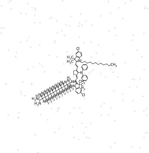 CCCCCCCCCCCC[N+]1=C(/C=C/C2=C(N(c3ccccc3)c3ccccc3)C(=C/C=C3/N(NC(N)(N)C(N)(N)C(N)(N)C(N)(N)C(N)(N)C(N)(N)C(N)(N)C(N)(N)C(N)(N)C(N)(N)C(N)(N)C(N)N)c4ccc(Cl)cc4C3(C)C)/CC2)C(C)(C)c2cc(Cl)ccc21